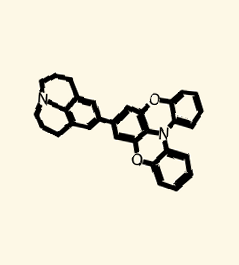 c1ccc2c(c1)Oc1cc(-c3cc4c5c(c3)CCCN5CCC4)cc3c1N2c1ccccc1O3